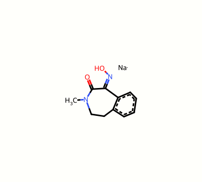 CN1CCc2ccccc2C(=NO)C1=O.[Na]